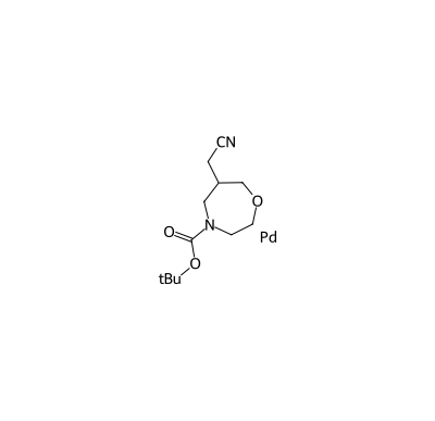 CC(C)(C)OC(=O)N1CCOCC(CC#N)C1.[Pd]